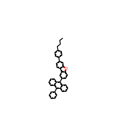 CCCCc1ccc(-c2ccc3c(c2)oc2ccc(-c4c5ccccc5c(-c5ccccc5)c5ccccc45)cc23)cc1